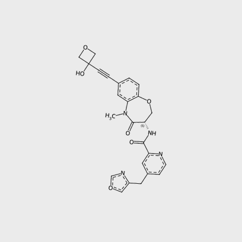 CN1C(=O)[C@@H](NC(=O)c2cc(Cc3cocn3)ccn2)COc2ccc(C#CC3(O)COC3)cc21